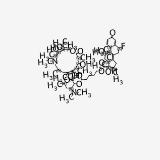 CC[C@H]1OC(=O)[C@H](C)[C@@H](O)[C@H](C)[C@@H](O[C@@H]2O[C@H](C)C[C@@H](N(C)C)C2OC(=O)CCCCOC(=O)[C@@]2(O)[C@H](C)CC3C4C[C@H](F)C5=CC(=O)C=C[C@]5(C)[C@@]4(Cl)[C@@H](O)C[C@@]32C)[C@](C)(O)C[C@@H](C)CN(C)[C@H](C)[C@@H](O)[C@]1(C)O